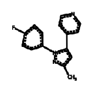 Cc1cc(-c2ccncc2)n(-c2ccc(F)cc2)n1